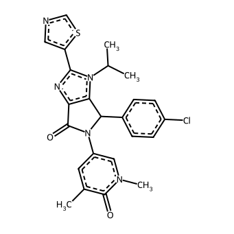 Cc1cc(N2C(=O)c3nc(-c4cncs4)n(C(C)C)c3C2c2ccc(Cl)cc2)cn(C)c1=O